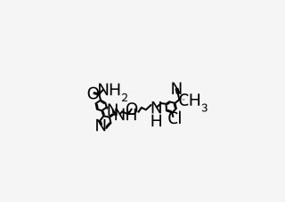 C[C@@H](C#N)c1cc(Cl)cc(CNCCCCOCCNc2nc3cc(C(N)=O)ccc3c3cnccc23)c1